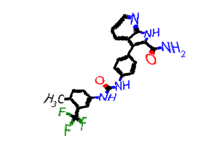 Cc1ccc(NC(=O)Nc2ccc(-c3c(C(N)=O)[nH]c4ncccc34)cc2)cc1C(F)(F)F